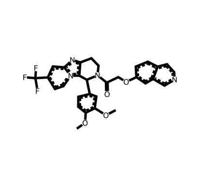 COc1ccc(C2c3c(nc4cc(C(F)(F)F)ccn34)CCN2C(=O)COc2ccc3ccncc3c2)cc1OC